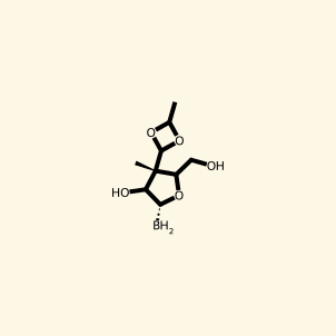 B[C@H]1OC(CO)[C@@](C)(C2OC(C)O2)C1O